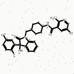 Cc1ncc(Cl)cc1C(=O)NC1CCC(CN2C(=O)C(O)(c3cc(Cl)ccc3F)c3ccccc32)CC1